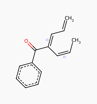 C=C/C=C(\C=C/C)C(=O)c1ccccc1